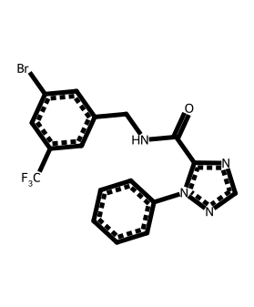 O=C(NCc1cc(Br)cc(C(F)(F)F)c1)c1ncnn1-c1ccccc1